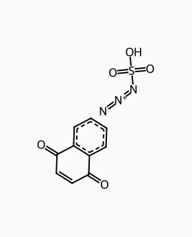 O=C1C=CC(=O)c2ccccc21.[N-]=[N+]=NS(=O)(=O)O